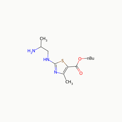 CCCCOC(=O)c1sc(NCC(C)N)nc1C